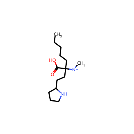 CCCCCC(CCC1CCCN1)(NC)C(=O)O